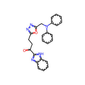 O=C(CCc1nnc(CN(c2ccccc2)c2ccccc2)o1)c1nc2ccccc2[nH]1